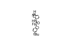 CC(C)(C)c1ccc2c(c1)CCC2N(F)C(=O)Nc1cccc2[nH]ncc12